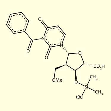 COC[C@@H]1[C@H](O[Si](C)(C)C(C)(C)C)[C@@H](C(=O)O)O[C@H]1n1ccc(=O)n(C(=O)c2ccccc2)c1=O